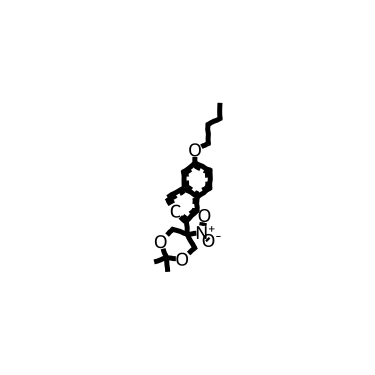 CCCCOc1ccc2cc(C3([N+](=O)[O-])COC(C)(C)OC3)ccc2c1